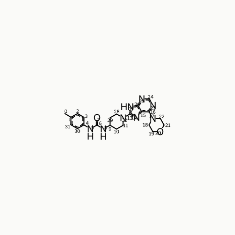 Cc1ccc(NC(=O)NC2CCN(c3nc4c(N5CCOCC5)ncnc4[nH]3)CC2)cc1